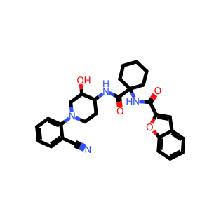 N#Cc1ccccc1N1CCC(NC(=O)C2(NC(=O)c3cc4ccccc4o3)CCCCC2)C(O)C1